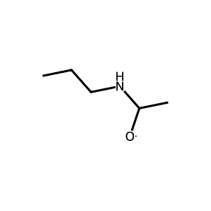 CCCNC(C)[O]